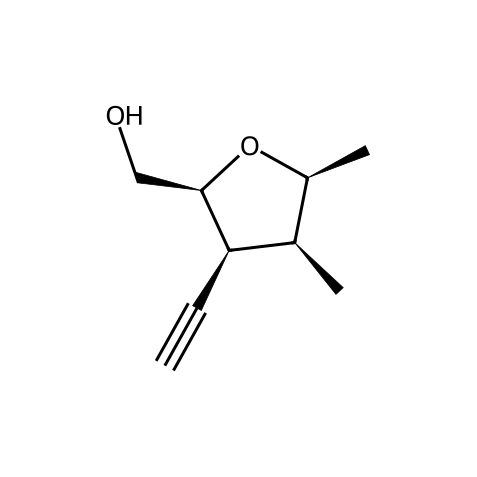 C#C[C@@H]1[C@H](C)[C@H](C)O[C@@H]1CO